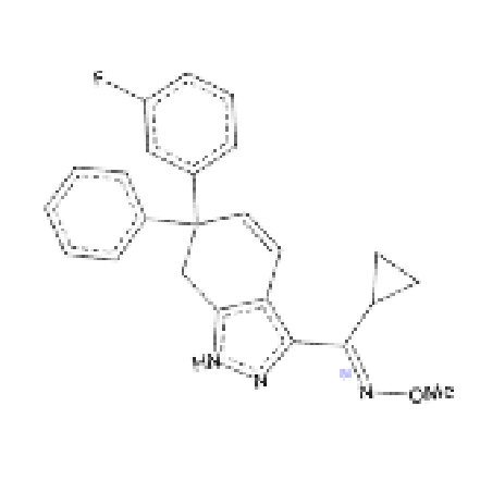 CO/N=C(/c1n[nH]c2c1C=CC(c1ccccc1)(c1cccc(F)c1)C2)C1CC1